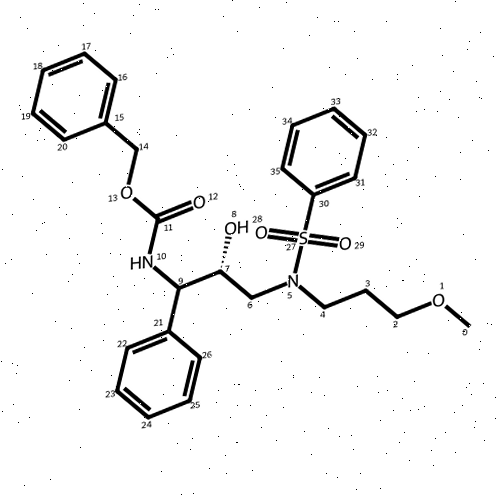 COCCCN(C[C@@H](O)C(NC(=O)OCc1ccccc1)c1ccccc1)S(=O)(=O)c1ccccc1